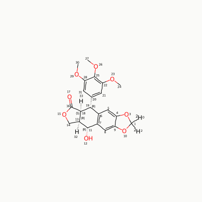 [2H]C1([2H])Oc2cc3c(cc2O1)[C@H](O)[C@H]1COC(=O)[C@H]1[C@@H]3c1cc(OC)c(OC)c(OC)c1